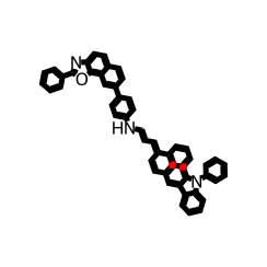 C(=C/c1ccc2c(c1)c1ccccc1n2-c1ccccc1)/C(=C\C=C\Nc1ccc(-c2ccc3ccc4nc(-c5ccccc5)oc4c3c2)cc1)c1ccccc1